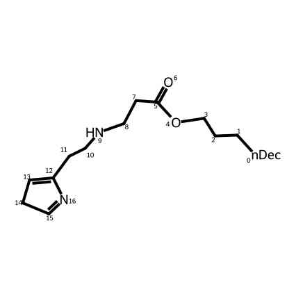 CCCCCCCCCCCCCOC(=O)CCNCCC1=CCC=N1